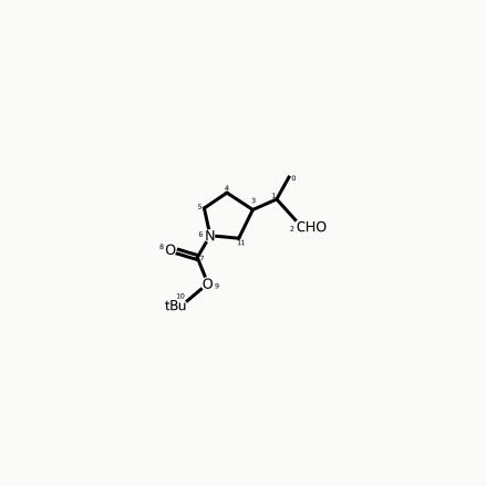 CC(C=O)C1CCN(C(=O)OC(C)(C)C)C1